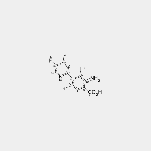 Cc1cc(-c2c(C)cc(C(=O)O)c(N)c2I)ncc1F